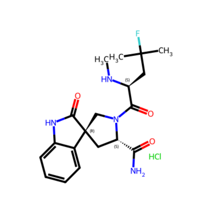 CN[C@@H](CC(C)(C)F)C(=O)N1C[C@]2(C[C@H]1C(N)=O)C(=O)Nc1ccccc12.Cl